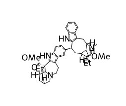 CC[C@@H]1CN(C)[C@H]2Cc3c([nH]c4ccccc34)[C@H](c3ccc4[nH]c5c(c4c3)CCN3CC4C[C@H](CC)[C@H]3[C@@]5(C(=O)OC)C4)C[C@@H]1[C@@H]2C(=O)OC